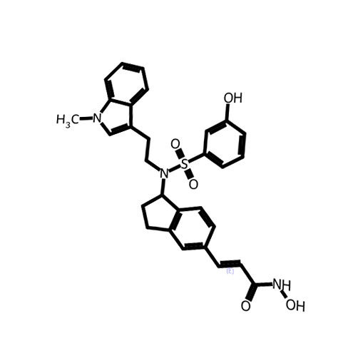 Cn1cc(CCN(C2CCc3cc(/C=C/C(=O)NO)ccc32)S(=O)(=O)c2cccc(O)c2)c2ccccc21